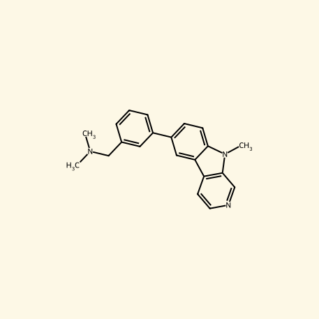 CN(C)Cc1cccc(-c2ccc3c(c2)c2ccncc2n3C)c1